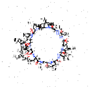 C/C=C/CC(C)C(O[Si](C)(C)C)C1C(=O)NC(CC)C(=O)N(C)CC(=O)N(C)C(CC(C)C)C(=O)NC(C(C)C)C(=O)N(C)C(CC(C)C)C(=O)NC(C)C(=O)NC(C)C(=O)N(C)C(CC(C)C)C(=O)N(C)C(CC(C)C)C(=O)N(C)C(C(C)C)C(=O)N1C